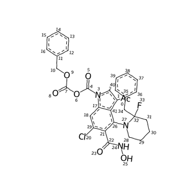 CC(=O)c1cn(C(=O)OC(=O)OCc2ccccc2)c2cc(Cl)c(C(=O)NO)c(N3CCCCC3(F)Cc3ccccc3)c12